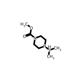 COC(=O)N1CCN([SH](C)C)CC1